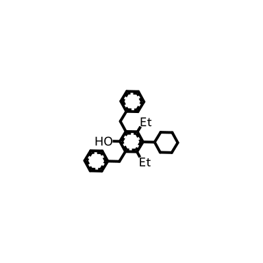 CCc1c(Cc2ccccc2)c(O)c(Cc2ccccc2)c(CC)c1C1CCCCC1